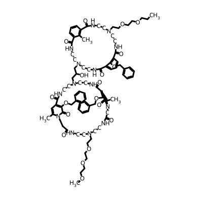 CCCOCCOCCN1CCNC(=O)c2cccc(c2C)C(=O)NCCN(CC(O)CN2CCNC(=O)c3cc(C)n(c(=O)c3OCc3ccccc3)CC(=O)NCCN(CCOCCOCCOC)CCNC(=O)Cn3c(C)cc(c(OCc4ccccc4)c3=O)C(=O)NCC2)CCNC(=O)c2cccc(c2OCc2ccccc2)C(=O)NCC1